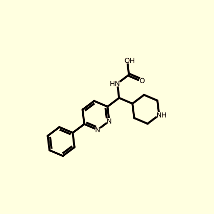 O=C(O)NC(c1ccc(-c2ccccc2)nn1)C1CCNCC1